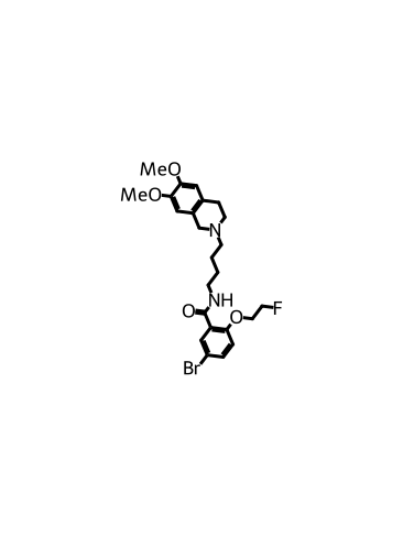 COc1cc2c(cc1OC)CN(CCCCNC(=O)c1cc(Br)ccc1OCCF)CC2